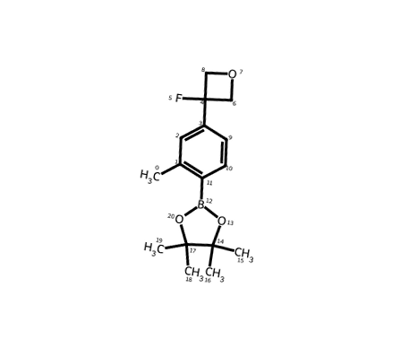 Cc1cc(C2(F)COC2)ccc1B1OC(C)(C)C(C)(C)O1